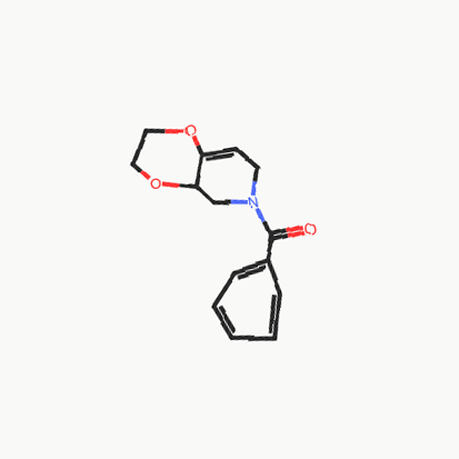 O=C(c1ccccc1)N1CC=C2OCCOC2C1